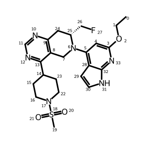 CCOc1cc(N2Cc3c(ncnc3C3CCN(S(C)(=O)=O)CC3)C[C@@H]2CF)c2cc[nH]c2n1